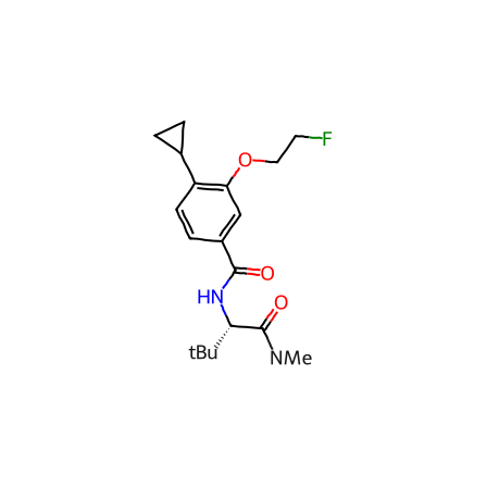 CNC(=O)[C@@H](NC(=O)c1ccc(C2CC2)c(OCCF)c1)C(C)(C)C